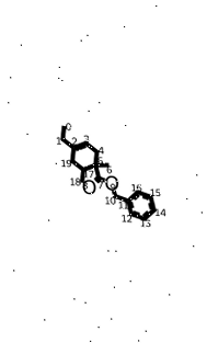 CCC1=CCC(C)(C(=O)OCc2ccccc2)C(C)C1